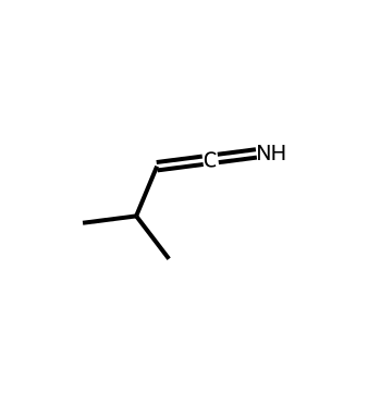 CC(C)C=C=N